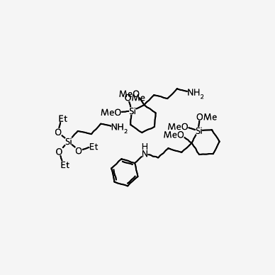 CCO[Si](CCCN)(OCC)OCC.COC1(CCCN)CCCC[Si]1(OC)OC.COC1(CCCNc2ccccc2)CCCC[Si]1(OC)OC